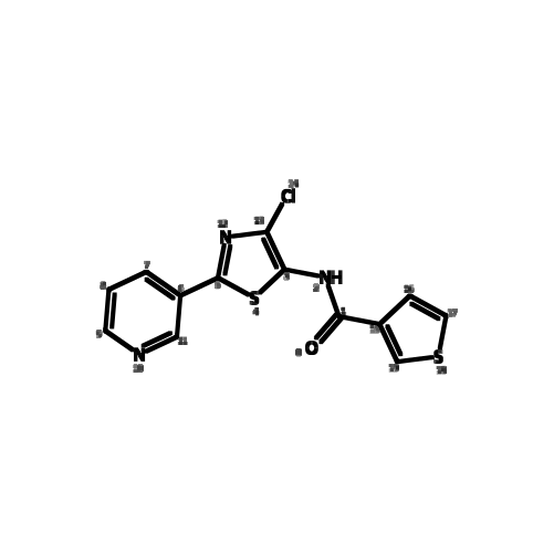 O=C(Nc1sc(-c2cccnc2)nc1Cl)c1ccsc1